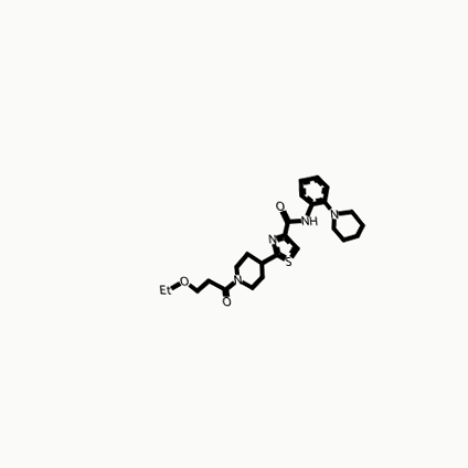 CCOCCC(=O)N1CCC(c2nc(C(=O)Nc3ccccc3N3CCCCC3)cs2)CC1